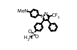 CNc1ccc(-n2nc(C(F)(F)F)c(-c3ccccc3)c2-c2ccc(S(N)(=O)=O)cc2)cc1